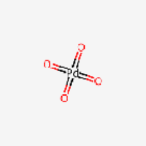 [O]=[Pd](=[O])(=[O])=[O]